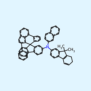 CC1(C)C2=C(C=CCC2)c2ccc(N(c3ccc4c(c3)C3(c5ccccc5-4)c4ccccc4-c4cccc5ccc(-c6ccccc6)c3c45)c3ccc4ccccc4c3)cc21